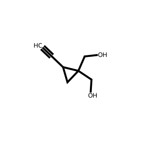 C#CC1CC1(CO)CO